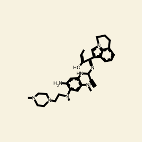 C#CC(/N=C(\C(O)=C/C)c1cn2c3c(cccc13)CCC2)Nc1cc(N)c(N(C)CCN2CCN(C)CC2)cc1NC